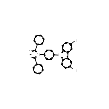 CCc1ccc2c(c1)c1cc(C(C)C)ccc1n2-c1ccc(-n2c(-c3ccccc3)nnc2-c2ccccc2)cc1